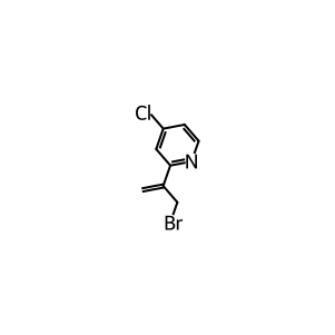 C=C(CBr)c1cc(Cl)ccn1